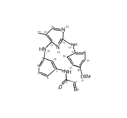 C=CC(=O)Nc1cccc(Nc2nc(Nc3ccc(OC)cc3)ncc2C)c1